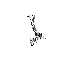 COc1ccccc1Cc1nc2ccc(-c3nn(C4CCC(N5CCN(CCOCCOCCN)CC5)CC4)c4ncnc(N)c34)cc2[nH]1